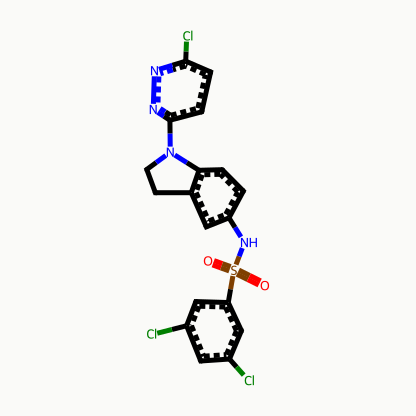 O=S(=O)(Nc1ccc2c(c1)CCN2c1ccc(Cl)nn1)c1cc(Cl)cc(Cl)c1